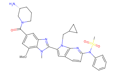 COc1cc(C(=O)N2CCC[C@@H](N)C2)cc2nc(-c3cc4ccc(N(c5ccccc5)S(C)(=O)=O)nc4n3CC3CC3)n(C)c12